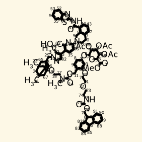 COC(=O)[C@H]1O[C@@H](Oc2ccc(COC(=O)N(C)CCOC34CC5(C)CC(C)(CC(Cn6ncc(-c7ccc(N8CCc9cccc(C(=O)Nc%10nc%11ccccc%11s%10)c9C8)nc7C(=O)O)c6C)(C5)C3)C4)c(OCCOCCNC(=O)OCC3c4ccccc4-c4ccccc43)c2)[C@H](OC(C)=O)[C@@H](OC(C)=O)[C@@H]1OC(C)=O